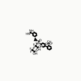 CS(=O)(=O)c1ccccc1-c1ccc(NC(=O)[C@@H]2C[C@@H]2c2cccc(C(=N)N)c2)nc1.O=C(O)C(F)(F)F.O=C(O)C(F)(F)F